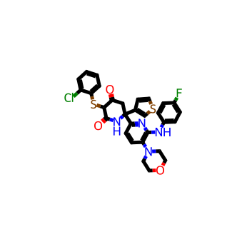 O=C1CC(c2ccsc2)(c2ccc(N3CCOCC3)c(Nc3ccc(F)cc3)n2)NC(=O)C1Sc1ccccc1Cl